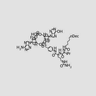 CCCCCCCCCCCCCCCC(=O)N[C@H](C(=O)N[C@@H](CCCNC(N)=O)C(=O)Nc1ccc(CSP2(=O)OC[C@H]3O[C@@H](n4cnc5c(N)ncnc54)[C@H](F)[C@@H]3OP(=O)(O)OC[C@H]3O[C@@H](n4cnc5c(O)ncnc54)[C@H](F)[C@@H]3O2)cc1)C(C)C